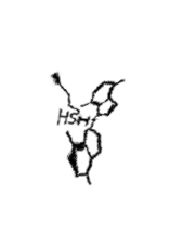 CCCCC[SiH]=[Hf]([CH]1C=Cc2c(C)ccc(C)c21)[CH]1C=Cc2c(C)ccc(C)c21